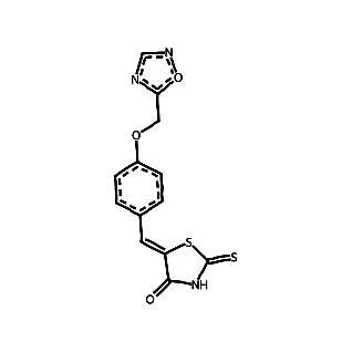 O=C1NC(=S)S/C1=C\c1ccc(OCc2ncno2)cc1